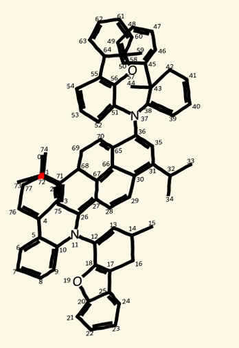 CC1C=CC(c2ccccc2N(C2=CC(C)Cc3c2oc2ccccc32)C2=c3ccc4c(C(C)C)cc(N(C5=CC=CCC5(C)c5ccccc5)c5cccc6c5OC5(C)C=CC=CC65)c5c4c3C(CC=5)C(C(C)C)=C2)=CC1